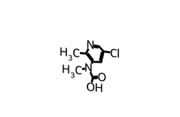 Cc1ncc(Cl)cc1N(C)C(=O)O